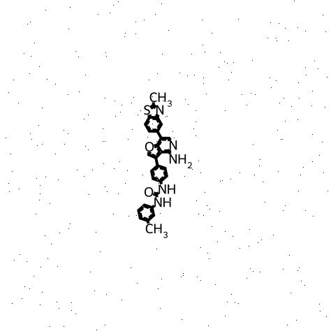 Cc1cccc(NC(=O)Nc2ccc(-c3coc4c(-c5ccc6sc(C)nc6c5)cnc(N)c34)cc2)c1